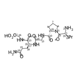 CC(C)[C@H](N)C(=O)N1CCC[C@H]1C(=O)NCC(=O)N[C@@H](CCC(N)=O)C(=O)NCC(=O)O